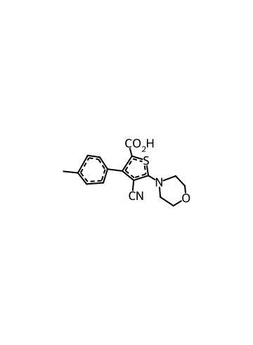 Cc1ccc(-c2c(C(=O)O)sc(N3CCOCC3)c2C#N)cc1